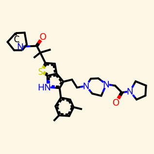 Cc1cc(C)cc(-c2[nH]c3sc(C(C)(C)C(=O)N4CC5CCC4CC5)cc3c2CCN2CCN(CC(=O)N3CCCC3)CC2)c1